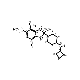 Cc1c(C(=O)O)cc(Cl)c2c1OC(C)(C1CCC(NC3CCC3)CC1)O2